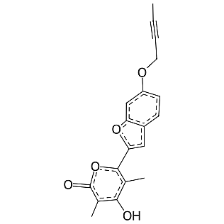 CC#CCOc1ccc2cc(-c3oc(=O)c(C)c(O)c3C)oc2c1